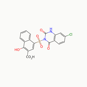 O=C(O)c1cc(S(=O)(=O)n2c(=O)[nH]c3cc(Cl)ccc3c2=O)c2ccccc2c1O